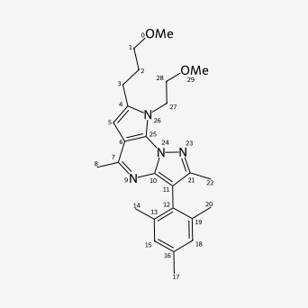 COCCCc1cc2c(C)nc3c(-c4c(C)cc(C)cc4C)c(C)nn3c2n1CCOC